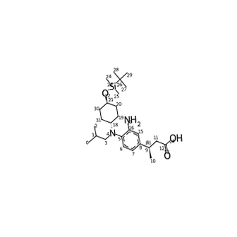 CC(C)CN(c1ccc([C@H](C)CC(=O)O)cc1N)[C@H]1CC[C@H](O[Si](C)(C)C(C)(C)C)CC1